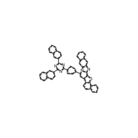 c1ccc2cc(-c3nc(-c4ccc(-c5cc6c7ccc8ccccc8c7sc6c6nc7cc8ccccc8cc7n56)cc4)nc(-c4ccc5ccccc5c4)n3)ccc2c1